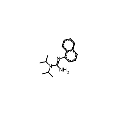 CC(C)N(C(N)=Nc1cccc2ccccc12)C(C)C